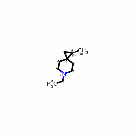 CCN1CCC2(CC1)C[C@H]2C